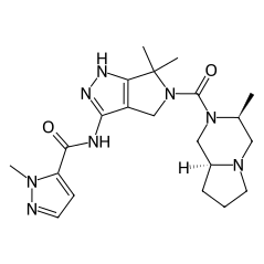 C[C@H]1CN2CCC[C@H]2CN1C(=O)N1Cc2c(NC(=O)c3ccnn3C)n[nH]c2C1(C)C